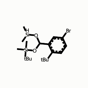 C[SiH](C)OC(O[Si](C)(C)C(C)(C)C)c1cc(Br)ccc1C(C)(C)C